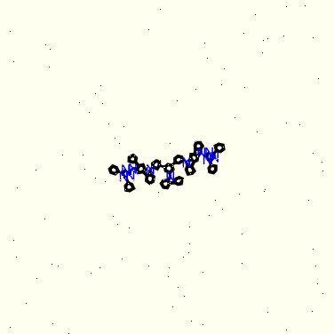 c1ccc(-c2nc(-c3ccccc3)nc(-n3c4ccccc4c4cc5c(cc43)c3ccccc3n5-c3cccc(-c4cc(-c5cccc(-n6c7ccccc7c7cc8c(cc76)c6ccccc6n8-c6nc(-c7ccccc7)nc(-c7ccccc7)n6)c5)cc(-n5c6ccccc6c6ccccc65)c4)c3)n2)cc1